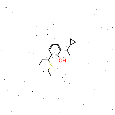 CCSC(CC)c1cccc(C(C)C2CC2)c1O